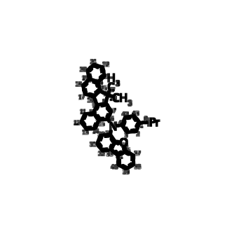 CC(C)c1ccc(N(c2cc3c(c4ccccc24)-c2ccc4ccccc4c2C3(C)C)c2cccc3c2oc2ccccc23)cc1